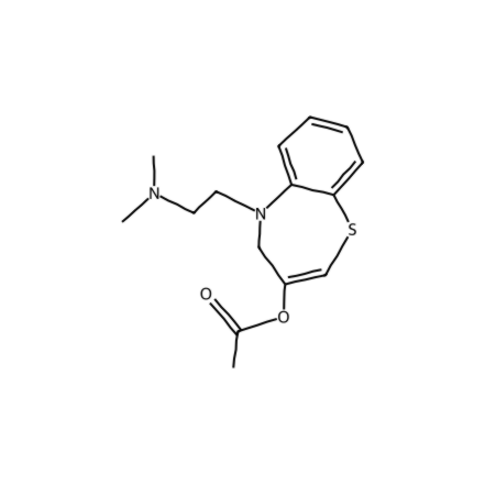 CC(=O)OC1=CSc2ccccc2N(CCN(C)C)C1